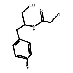 O=C(CCl)NC(CO)Cc1ccc(Br)cc1